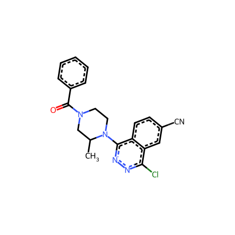 CC1CN(C(=O)c2ccccc2)CCN1c1nnc(Cl)c2cc(C#N)ccc12